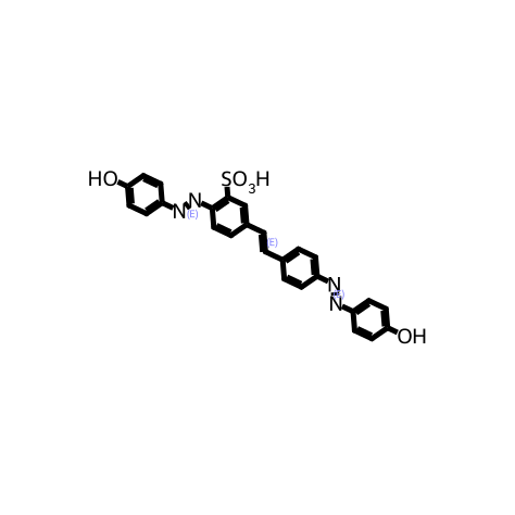 O=S(=O)(O)c1cc(/C=C/c2ccc(/N=N/c3ccc(O)cc3)cc2)ccc1/N=N/c1ccc(O)cc1